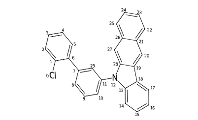 Clc1ccccc1-c1cccc(-n2c3ccccc3c3cc4ccccc4cc32)c1